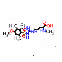 CNC(CCCNC(=N)NS(=O)(=O)c1c(C)cc(OC)c(C)c1C)C(=O)O